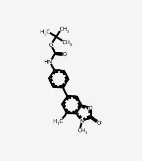 Cc1cc(-c2ccc(NC(=O)OC(C)(C)C)cc2)cc2oc(=O)n(C)c12